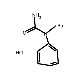 CCCCN(C(N)=O)c1ccccc1.Cl